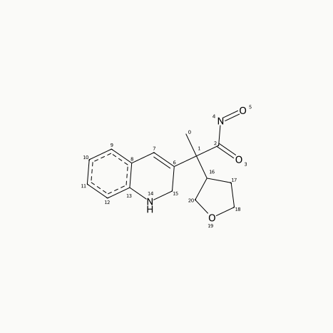 CC(C(=O)N=O)(C1=Cc2ccccc2NC1)C1CCOC1